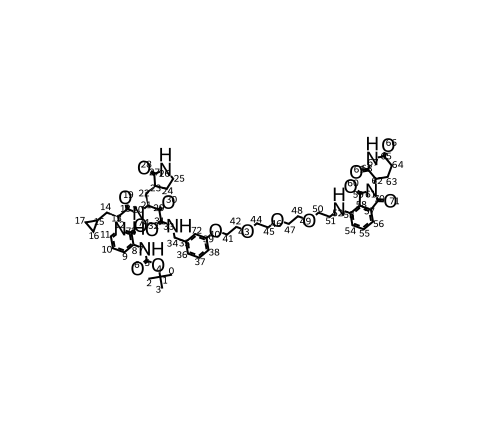 CC(C)(C)OC(=O)Nc1cccn([C@@H](CC2CC2)C(=O)N[C@@H](C[C@@H]2CCNC2=O)C(=O)C(=O)NCc2cccc(OCCOCCOCCOCCNc3cccc4c3C(=O)N(C3CCC(=O)NC3=O)C4=O)c2)c1=O